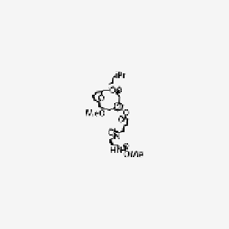 COC(=O)NC/C=C\c1nc(CC/C=C\C(=O)O[C@H]2CC3CC(=O)O[C@@H](CCCC(C)C)CC4CCCC(C[C@@H](OC)CC(C2)O3)O4)co1